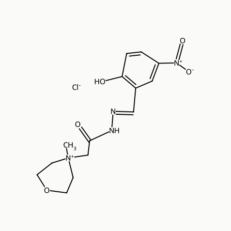 C[N+]1(CC(=O)NN=Cc2cc([N+](=O)[O-])ccc2O)CCOCC1.[Cl-]